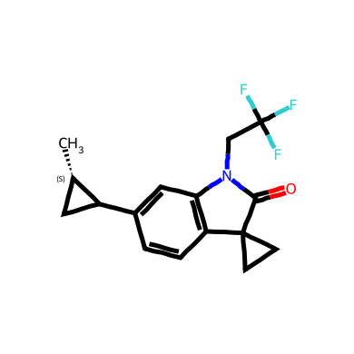 C[C@H]1CC1c1ccc2c(c1)N(CC(F)(F)F)C(=O)C21CC1